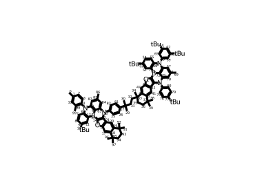 Cc1ccc(N2c3ccc(C(C)(C)C)cc3B3c4oc5cc6c(cc5c4N(c4ccc(C(C)(C)CCC5(C)CCC(C)(C)c7cc8c9c(oc8cc75)B5c7cc(C(C)(C)C)ccc7N(c7cc(C(C)(C)C)cc(C(C)(C)C)c7)c7cc(C)cc(c75)N9c5ccc(C(C)(C)C)cc5)cc4)c4cc(C)cc2c43)C(C)(C)CCC6(C)C)c(C)c1